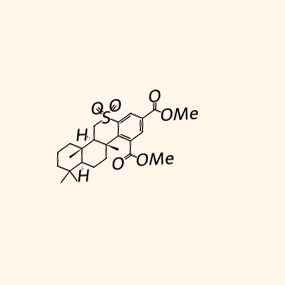 COC(=O)c1cc(C(=O)OC)c2c(c1)S(=O)(=O)C[C@@H]1[C@@]3(C)CCCC(C)(C)[C@@H]3CC[C@@]21C